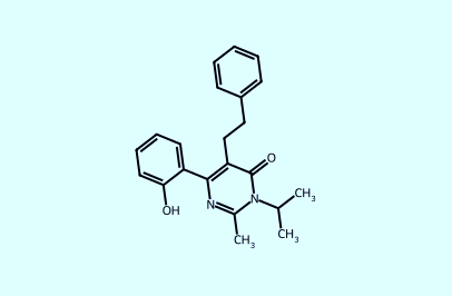 Cc1nc(-c2ccccc2O)c(CCc2ccccc2)c(=O)n1C(C)C